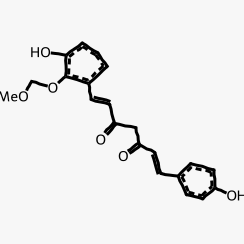 COCOc1c(O)cccc1C=CC(=O)CC(=O)C=Cc1ccc(O)cc1